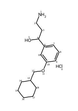 Cl.NCCC(O)c1cccc(OCC2CCCCC2)c1